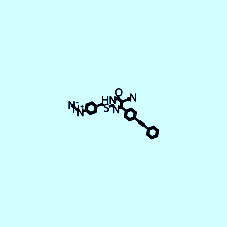 N#Cc1c(-c2ccc(C#Cc3ccccc3)cc2)nc(SCc2ccc(N=[N+]=[N-])cc2)[nH]c1=O